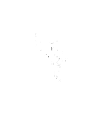 O=C(NCc1ccnc(Cl)c1)n1c2c(c3c(C(F)(F)F)cc(F)cc31)CN(C/C=C/c1ccc(F)cc1)CC2